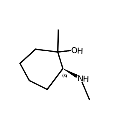 CN[C@H]1CCCCC1(C)O